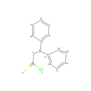 S=C(Cl)CC(c1ccccc1)c1ccccc1